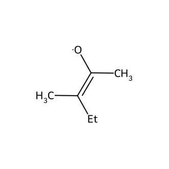 CC/C(C)=C(\C)[O]